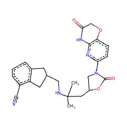 CC(C)(CC1CN(c2ccc3c(n2)NC(=O)CO3)C(=O)O1)NCC1Cc2cccc(C#N)c2C1